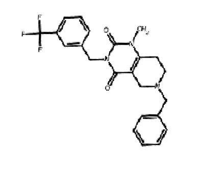 Cn1c2c(c(=O)n(Cc3cccc(C(F)(F)F)c3)c1=O)CN(Cc1ccccc1)CC2